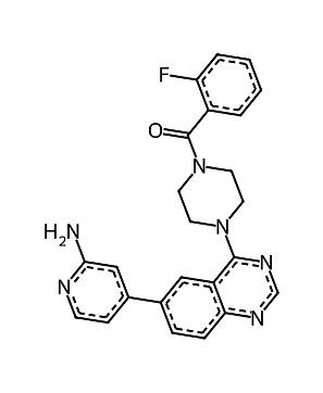 Nc1cc(-c2ccc3ncnc(N4CCN(C(=O)c5ccccc5F)CC4)c3c2)ccn1